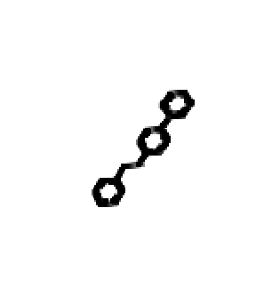 [CH](Cc1ccccc1)c1ccc(-c2ccccc2)cc1